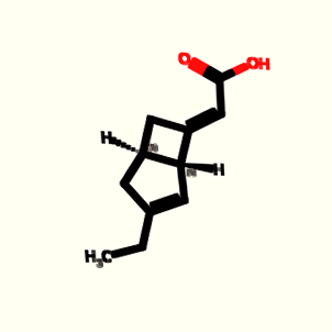 CCC1=C[C@H]2C(=CC(=O)O)C[C@@H]2C1